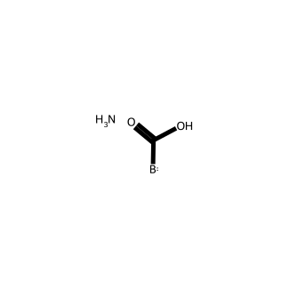 N.[B]C(=O)O